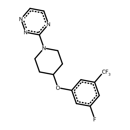 Fc1cc(OC2CCN(c3nccnn3)CC2)cc(C(F)(F)F)c1